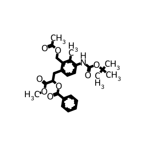 COC(=O)C(Cc1ccc(NC(=O)OC(C)(C)C)c(C)c1COC(C)=O)OC(=O)c1ccccc1